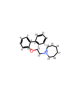 c1ccc(-c2ccccc2OCCN2CCCCCC2)cc1